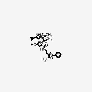 Cc1oc(-c2ccccc2)nc1CCNC(=O)[C@@H]1C[C@@H](O)CN1C(=O)[C@@H](n1cc(C2CC2)nn1)C(C)(C)C